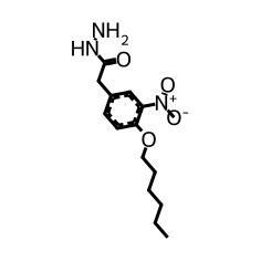 CCCCCCOc1ccc(CC(=O)NN)cc1[N+](=O)[O-]